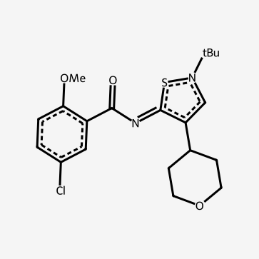 COc1ccc(Cl)cc1C(=O)N=c1sn(C(C)(C)C)cc1C1CCOCC1